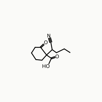 CCCC(C#N)C1(C(=O)O)CCCCC1=O